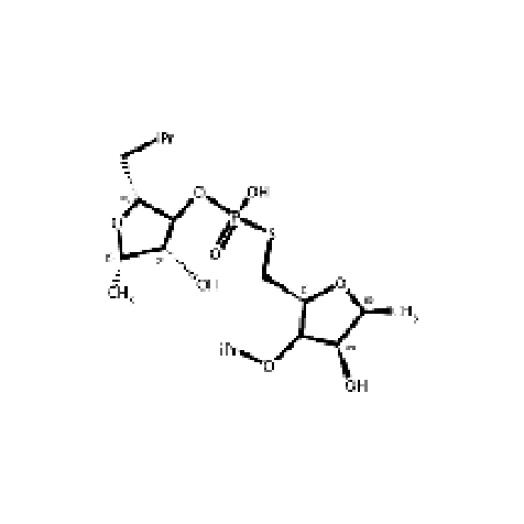 CC(C)C[C@H]1O[C@@H](C)[C@@H](O)C1OP(=O)(O)SC[C@H]1O[C@@H](C)[C@@H](O)C1OC(C)C